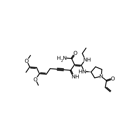 C=CC(=O)N1CC[C@H](N/C(NCC)=C(\C(=N)C#CC/C=C(\C=C(/C)OC)OC)C(N)=O)C1